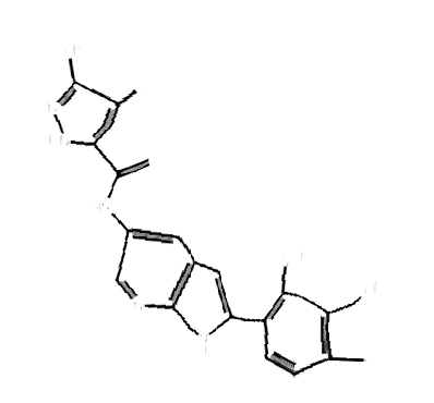 Cc1n[nH]c(C(=O)Nc2cnc3[nH]c(-c4ccc(O)c(C)c4C)cc3c2)c1C